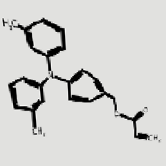 C=CC(=O)OCc1ccc(N(c2cccc(C)c2)c2cccc(C)c2)cc1